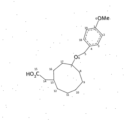 COc1ccc(COC2CCCCCC(CC(=O)O)CC2)cc1